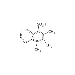 Cc1c(C)c(S(=O)(=O)O)c2ccccc2c1C